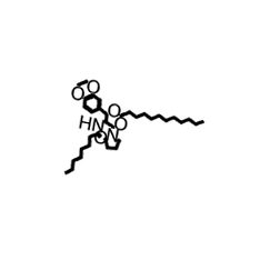 CCCCCCCCCCCC(=O)OC(c1ccc2c(c1)OCCO2)C(CN1CCCC1)NC(=O)CCCCCCC